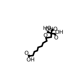 O=C(O)CCCCCCCCCC(C(=O)O)(C(=O)O)C(=O)O